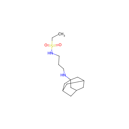 CCS(=O)(=O)NCCCNC12CC3CC(CC(C3)C1)C2